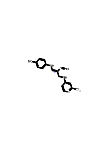 N#Cc1ccc(N/C=C(/CNc2ccnc(C(F)(F)F)c2)N=N)cc1